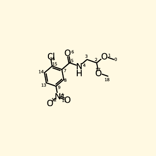 COC(CNC(=O)c1cc([N+](=O)[O-])ccc1Cl)OC